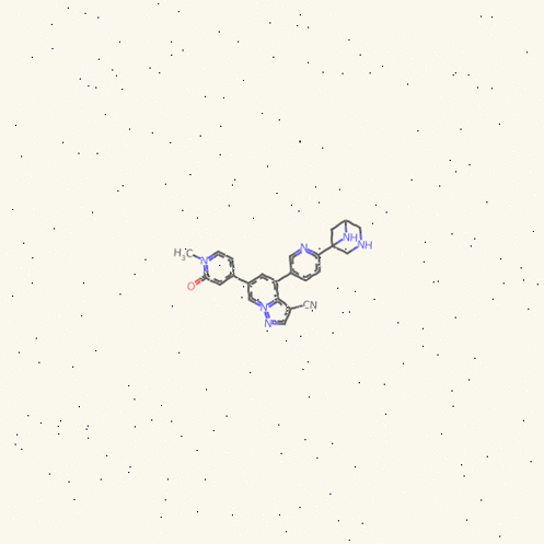 Cn1ccc(-c2cc(-c3ccc(C45CNCC(C4)N5)nc3)c3c(C#N)cnn3c2)cc1=O